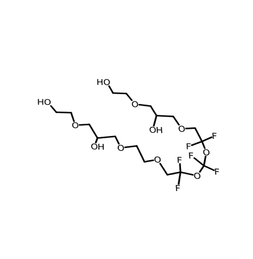 OCCOCC(O)COCCOCC(F)(F)OC(F)(F)OC(F)(F)COCC(O)COCCO